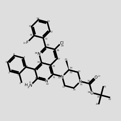 Cc1ccccc1-c1c(N)nc(N2CCN(C(=O)OC(C)(C)C)C[C@@H]2C)c2cc(Cl)c(-c3ccccc3F)nc12